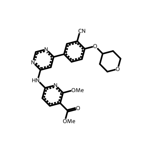 COC(=O)c1ccc(Nc2cc(-c3ccc(OC4CCOCC4)c(C#N)c3)ncn2)nc1OC